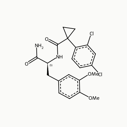 COc1ccc(C[C@H](NC(=O)C2(c3ccc(Cl)cc3Cl)CC2)C(N)=O)cc1OC